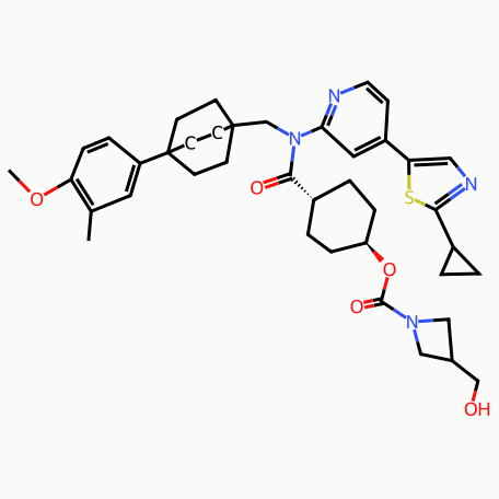 COc1ccc(C23CCC(CN(c4cc(-c5cnc(C6CC6)s5)ccn4)C(=O)[C@H]4CC[C@H](OC(=O)N5CC(CO)C5)CC4)(CC2)CC3)cc1C